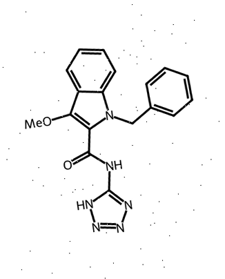 COc1c(C(=O)Nc2nnn[nH]2)n(Cc2ccccc2)c2ccccc12